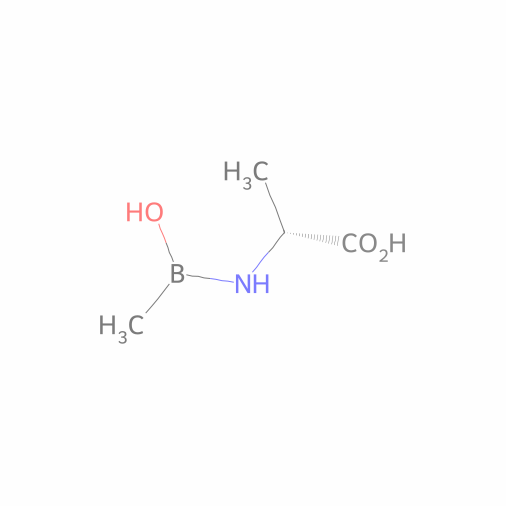 CB(O)N[C@H](C)C(=O)O